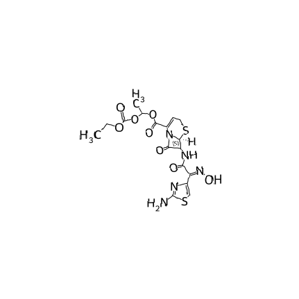 CCOC(=O)OC(C)OC(=O)C1=CCS[C@H]2C(NC(=O)C(=NO)c3csc(N)n3)C(=O)N12